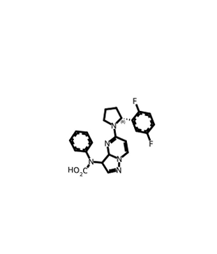 O=C(O)N(c1ccccc1)C1C=NN2C=CC(N3CCC[C@@H]3c3cc(F)ccc3F)=NC12